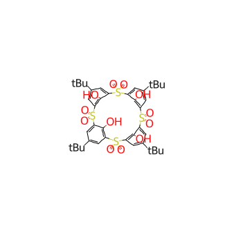 CC(C)(C)c1cc2c(O)c(c1)S(=O)(=O)c1cc(C(C)(C)C)cc(c1O)S(=O)(=O)c1cc(C(C)(C)C)cc(c1O)S(=O)(=O)c1cc(C(C)(C)C)cc(c1O)S2(=O)=O